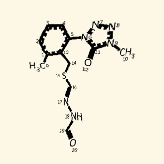 Cc1cccc(-n2nnn(C)c2=O)c1CSC=NNC=O